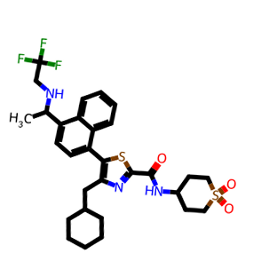 CC(NCC(F)(F)F)c1ccc(-c2sc(C(=O)NC3CCS(=O)(=O)CC3)nc2CC2CCCCC2)c2ccccc12